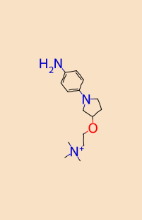 C[N+](C)(C)CCOC1CCN(c2ccc(N)cc2)C1